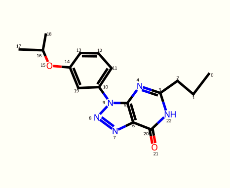 CCCc1nc2c(nnn2-c2cccc(OC(C)C)c2)c(=O)[nH]1